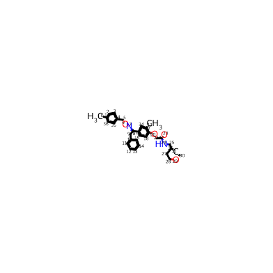 Cc1ccc(CO/N=C(\Cc2ccccc2)c2ccc(OCC(=O)NCC3CCOCC3)c(C)c2)cc1